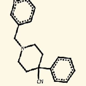 N#CC1(c2ccccc2)CCN(Cc2cccnc2)CC1